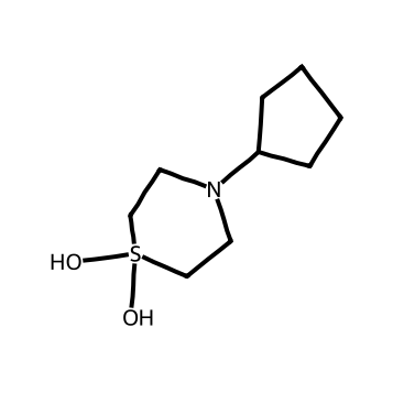 OS1(O)CCN(C2CCCC2)CC1